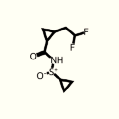 O=C(N[S+]([O-])C1CC1)C1CC1CC(F)F